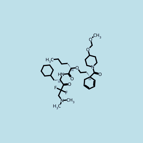 CCCC[C@H](OCC[C@]1(C(=O)N2CCC(OCOC)CC2)C=CC=CC1)C(=O)N[C@@H](CC1CCCCC1)C(=O)C(F)(F)CN(C)C